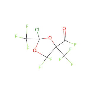 O=C(F)C1(C(F)(F)F)OC(Cl)(C(F)(F)F)OC1(F)F